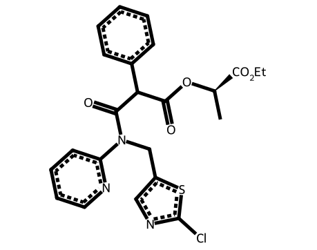 CCOC(=O)[C@@H](C)OC(=O)C(C(=O)N(Cc1cnc(Cl)s1)c1ccccn1)c1ccccc1